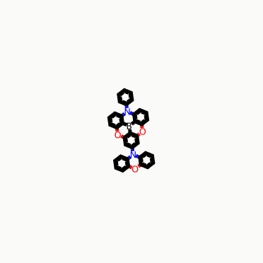 c1ccc(N2c3cccc4c3B3c5c(cc(N6c7ccccc7Oc7ccccc76)cc5Oc5cccc2c53)O4)cc1